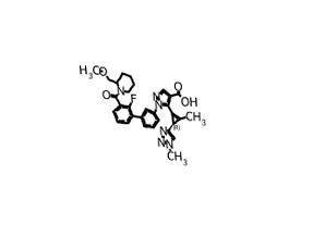 COCC1CCCCN1C(=O)c1cccc(-c2cccc(-n3ncc(C(=O)O)c3C3=C(C)[C@H]3c3cn(C)nn3)c2)c1F